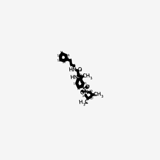 Cc1c(C(=O)NCCCc2ccccc2)[nH]c2ccc(S(=O)(=O)N3CC(C)CC(C)C3)cc12